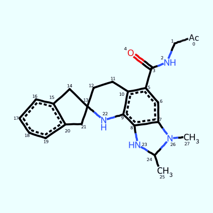 CC(=O)CNC(=O)c1cc2c(c3c1CCC1(Cc4ccccc4C1)N3)NC(C)N2C